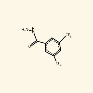 NNC(=O)c1cc(C(F)(F)F)cc(C(F)(F)F)c1